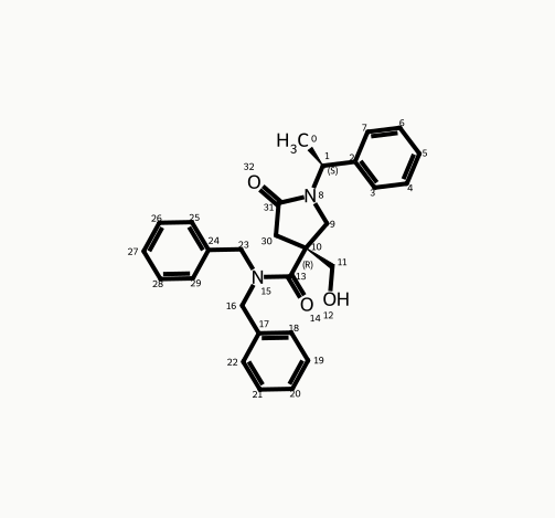 C[C@@H](c1ccccc1)N1C[C@](CO)(C(=O)N(Cc2ccccc2)Cc2ccccc2)CC1=O